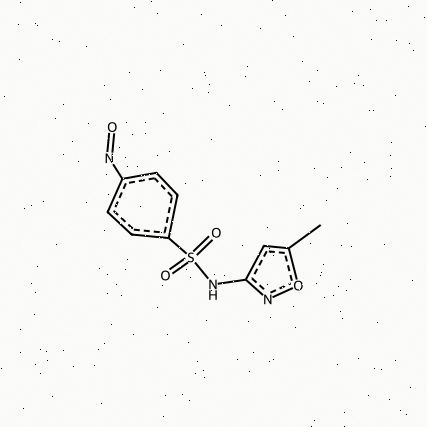 Cc1cc(NS(=O)(=O)c2ccc(N=O)cc2)no1